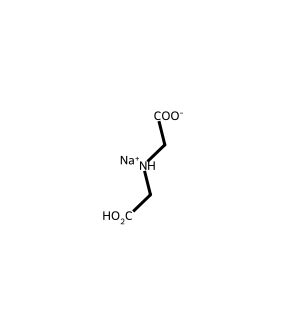 O=C([O-])CNCC(=O)O.[Na+]